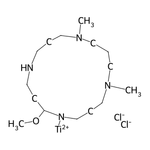 COC1CCNCCCN(C)CCCN(C)CCC[N]1[Ti+2].[Cl-].[Cl-]